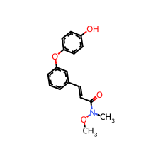 CON(C)C(=O)C=Cc1cccc(Oc2ccc(O)cc2)c1